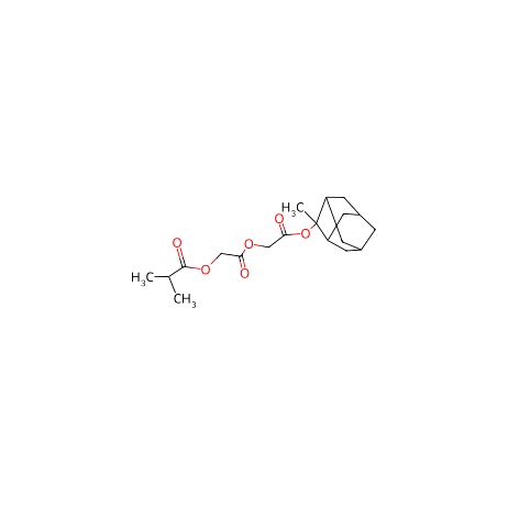 CC(C)C(=O)OCC(=O)OCC(=O)OC1(C)C2CC3CC(C2)CC1C3